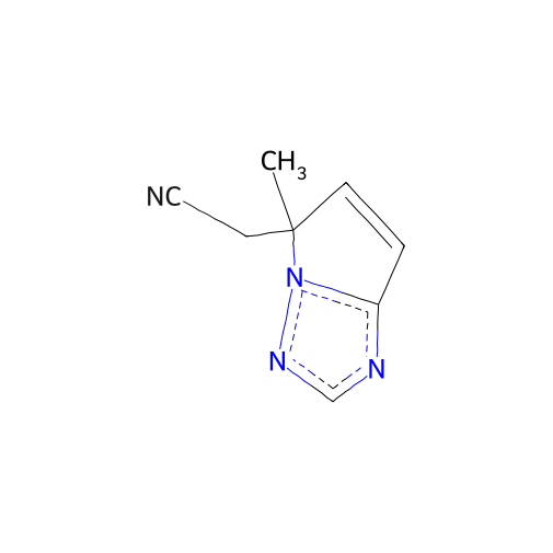 CC1(CC#N)C=Cc2ncnn21